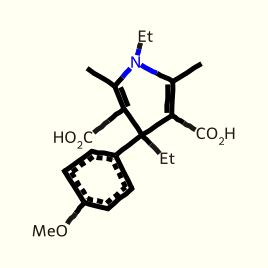 CCN1C(C)=C(C(=O)O)C(CC)(c2ccc(OC)cc2)C(C(=O)O)=C1C